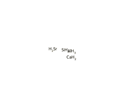 [AlH3].[CaH2].[SiH4].[SrH2]